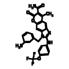 Bc1cccc(Cn2c(Nc3ccc(OC(F)(F)F)cc3)nc3cc4c(C)c(C(N)=O)c(=O)oc4cc32)c1